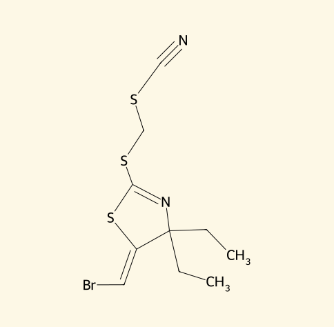 CCC1(CC)N=C(SCSC#N)S/C1=C\Br